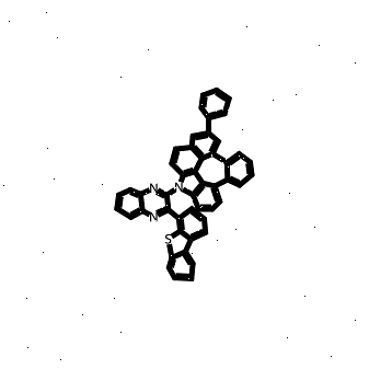 c1ccc(-c2cc3c4c(ccc5c4c4c(cccc4n5-c4nc5ccccc5nc4-c4cccc5c4sc4ccccc45)-c4ccccc4-3)c2)cc1